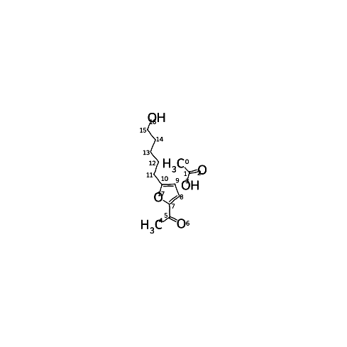 CC(=O)O.CC(=O)c1ccc(CCCCCO)o1